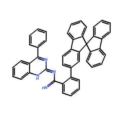 N=C(/N=c1/nc(-c2ccccc2)c2ccccc2[nH]1)c1ccccc1-c1ccc2c(c1)C1(c3ccccc3-c3ccccc31)c1ccccc1-2